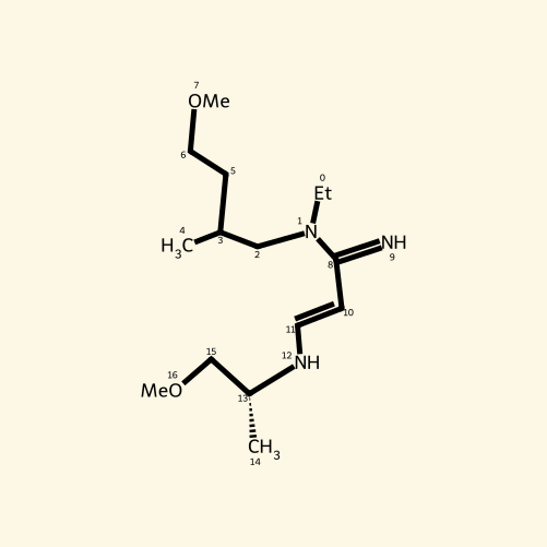 CCN(CC(C)CCOC)C(=N)/C=C/N[C@H](C)COC